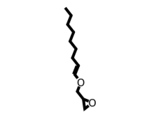 CCCCCCCC=COCC1CO1